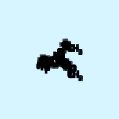 C=CC(=O)N1CCN(c2nc(OC[C@@H]3CCCN3C)nc3c2CCCN(c2cccc(F)c2C(F)(F)F)C3)CC1